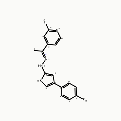 C/C(=N\Nc1nc(-c2ccc(F)cc2)cs1)c1ccnc(F)c1